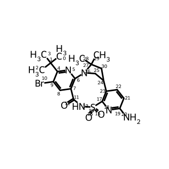 CC(C)(C)c1nc2c(cc1Br)C(=O)NS(=O)(=O)c1nc(N)ccc1C1CN2C(C)(C)C1